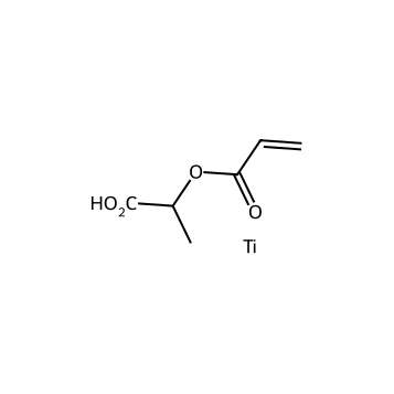 C=CC(=O)OC(C)C(=O)O.[Ti]